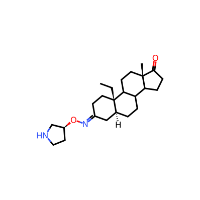 CC[C@]12CCC(=NO[C@H]3CCNC3)C[C@@H]1CCC1C2CC[C@]2(C)C(=O)CCC12